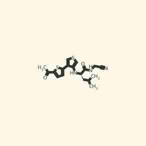 CC(=O)c1ccc(-c2cscc2N[C@@H](CC(C)C)C(=O)NCC#N)s1